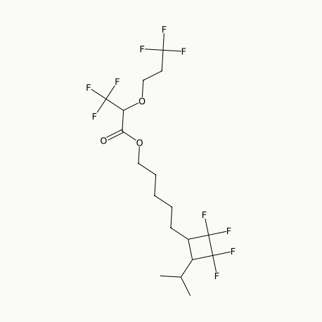 CC(C)C1C(CCCCCOC(=O)C(OCCC(F)(F)F)C(F)(F)F)C(F)(F)C1(F)F